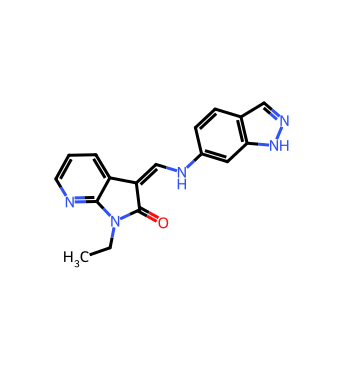 CCN1C(=O)C(=CNc2ccc3cn[nH]c3c2)c2cccnc21